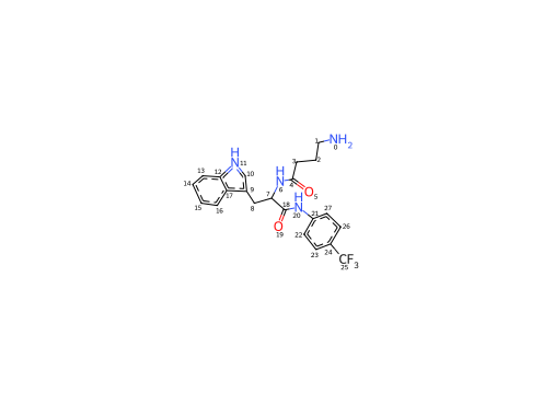 NCCCC(=O)NC(Cc1c[nH]c2ccccc12)C(=O)Nc1ccc(C(F)(F)F)cc1